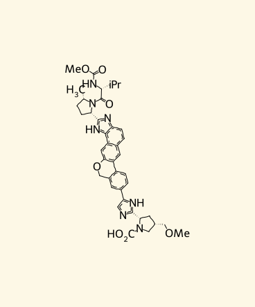 COC[C@H]1C[C@@H](c2ncc(-c3ccc4c(c3)COc3cc5c(ccc6nc([C@@H]7CC[C@H](C)N7C(=O)[C@H](NC(=O)OC)C(C)C)[nH]c65)cc3-4)[nH]2)N(C(=O)O)C1